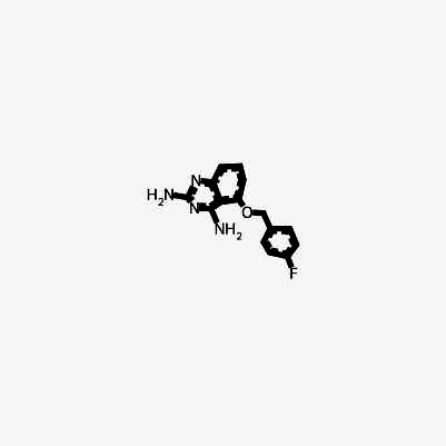 Nc1nc(N)c2c(OCc3ccc(F)cc3)cccc2n1